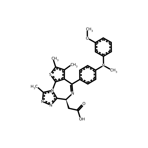 COc1cccc(N(C)c2ccc(C3=N[C@@H](CC(=O)O)c4nnc(C)n4-c4sc(C)c(C)c43)cc2)c1